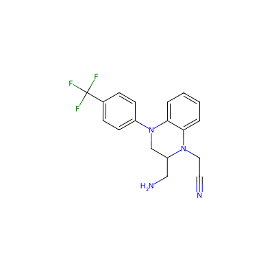 N#CCN1c2ccccc2N(c2ccc(C(F)(F)F)cc2)CC1CN